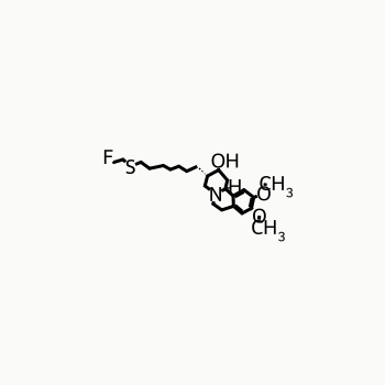 COc1cc2c(cc1OC)[C@@H]1C[C@H](O)[C@@H](CCCCCCCSCCF)CN1CC2